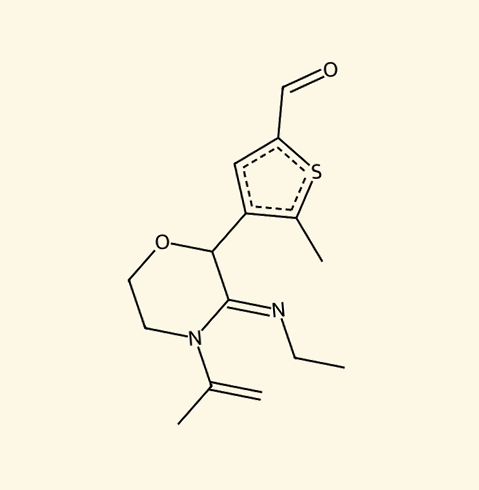 C=C(C)N1CCOC(c2cc(C=O)sc2C)/C1=N/CC